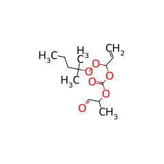 C=CC(OOC(C)(C)CCC)OC(=O)OC(C)C=O